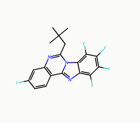 CC(C)(C)Cc1nc2cc(F)ccc2c2nc3c(F)c(F)c(F)c(F)c3n12